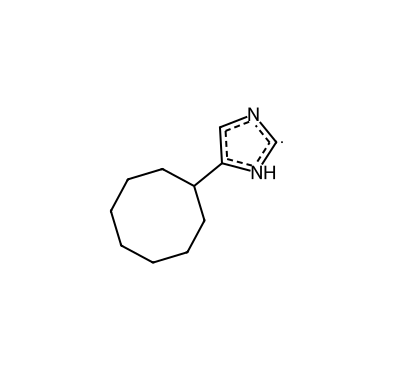 [c]1ncc(C2CCCCCCC2)[nH]1